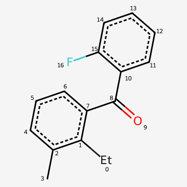 CCc1c(C)cccc1C(=O)c1ccccc1F